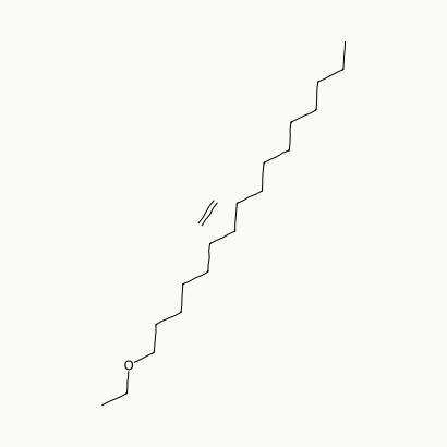 C=C.CCCCCCCCCCCCCCCCOCC